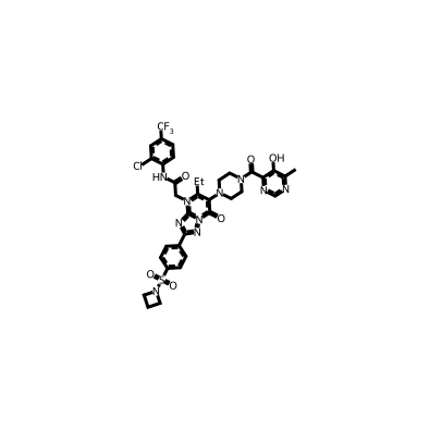 CCc1c(N2CCN(C(=O)c3ncnc(C)c3O)CC2)c(=O)n2nc(-c3ccc(S(=O)(=O)N4CCC4)cc3)nc2n1CC(=O)Nc1ccc(C(F)(F)F)cc1Cl